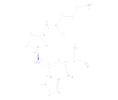 CCCOCCC(=O)N[C@H]1CC[C@H](Nc2cc(C(CC)CC)nc3ccnn23)C1